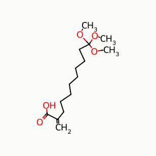 C=C(CCCCCCCCC(OC)(OC)OC)C(=O)O